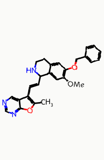 COc1cc2c(cc1OCc1ccccc1)CCNC2/C=C/c1c(C)oc2ncncc12